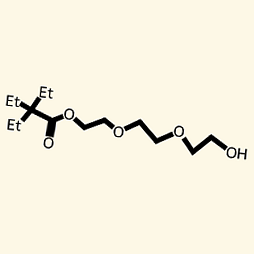 CCC(CC)(CC)C(=O)OCCOCCOCCO